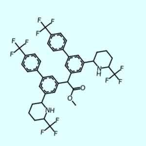 COC(=O)C(c1cc(-c2ccc(C(F)(F)F)cc2)cc(C2CCCC(C(F)(F)F)N2)c1)c1cc(-c2ccc(C(F)(F)F)cc2)cc(C2CCCC(C(F)(F)F)N2)c1